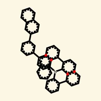 c1ccc(-c2ccccc2N(c2ccc(-c3cccc(-c4ccc5ccccc5c4)c3)cc2)c2ccccc2-c2cccc3oc4ccccc4c23)cc1